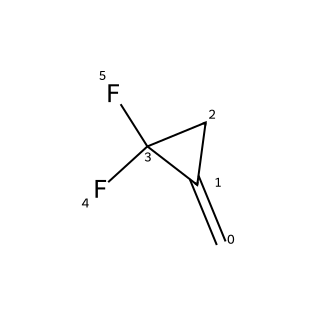 C=C1CC1(F)F